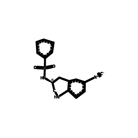 [C-]#[N+]c1ccc2c(c1)C[C@H](NS(=O)(=O)c1ccccc1)CN2